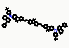 CC(C)(C)c1ccc(N(c2ccc3c(c2)C(C)(C)c2cc(/C=C/c4ccc5c(c4)C(C)(C)c4cc(/C=C/c6ccc7c(c6)C(C)(C)c6cc(N(c8ccc(C(C)(C)C)cc8)c8ccc(-c9ccccc9)c9ccccc89)ccc6-7)ccc4-5)ccc2-3)c2ccc(-c3ccccc3)c3ccccc23)cc1